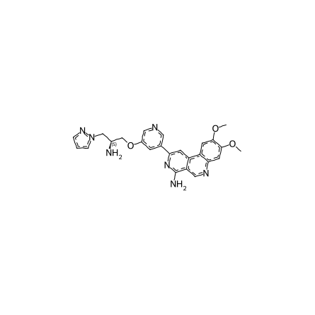 COc1cc2ncc3c(N)nc(-c4cncc(OC[C@@H](N)Cn5cccn5)c4)cc3c2cc1OC